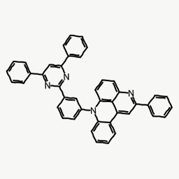 c1ccc(-c2cc(-c3ccccc3)nc(-c3cccc(N4c5ccccc5-c5cc(-c6ccccc6)nc6cccc4c56)c3)n2)cc1